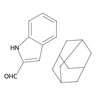 C1C2CC3CC1CC(C2)C3.O=Cc1cc2ccccc2[nH]1